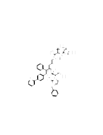 COC(=O)NC(C(=O)NCC(O)CC(NC(=O)C(N1CCN(Cc2ccccc2)C1=O)C(C)(C)C)C(Cc1ccc(-c2ccccn2)cc1)c1ccccc1)C(C)(C)C